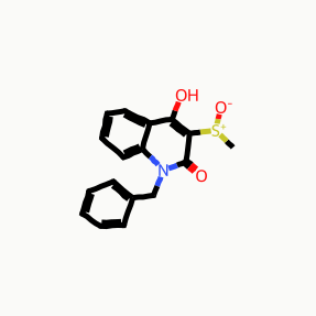 C[S+]([O-])c1c(O)c2ccccc2n(Cc2ccccc2)c1=O